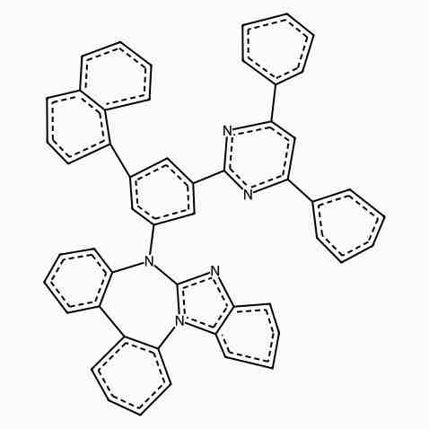 c1ccc(-c2cc(-c3ccccc3)nc(-c3cc(-c4cccc5ccccc45)cc(N4c5ccccc5-c5ccccc5-n5c4nc4ccccc45)c3)n2)cc1